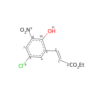 CCOC(=O)C=Cc1cc(Cl)cc([N+](=O)[O-])c1O